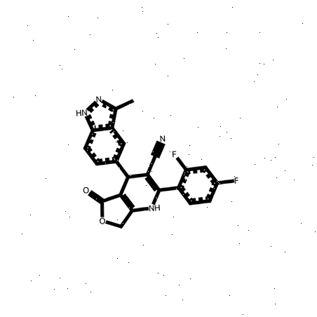 Cc1n[nH]c2ccc(C3C(C#N)=C(c4ccc(F)cc4F)NC4=C3C(=O)OC4)cc12